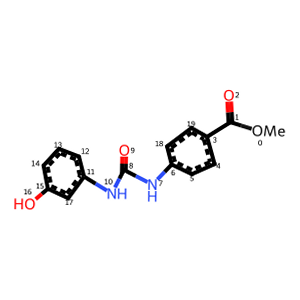 COC(=O)c1ccc(NC(=O)Nc2cccc(O)c2)cc1